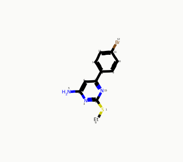 CCSc1nc(N)cc(-c2ccc(Br)cc2)n1